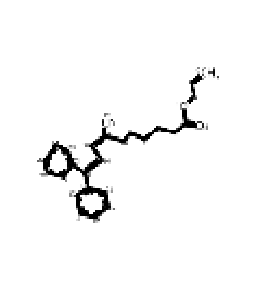 C=CCOC(=O)CCCCCC(C#N)=CC=C(c1ccccc1)c1ccccc1